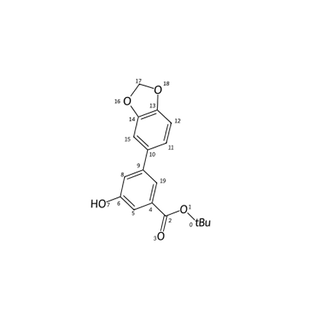 CC(C)(C)OC(=O)c1cc(O)cc(-c2ccc3c(c2)OCO3)c1